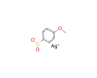 COc1ccc(S(=O)[O-])cc1.[Ag+]